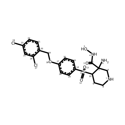 NC1(C(=O)NO)CNCCC1S(=O)(=O)c1ccc(OCc2ccc(Cl)cc2Cl)cc1